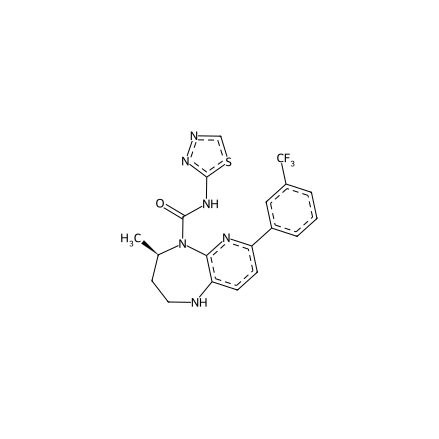 C[C@@H]1CCNc2ccc(-c3cccc(C(F)(F)F)c3)nc2N1C(=O)Nc1nncs1